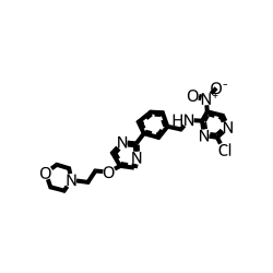 O=[N+]([O-])c1cnc(Cl)nc1NCc1cccc(-c2ncc(OCCN3CCOCC3)cn2)c1